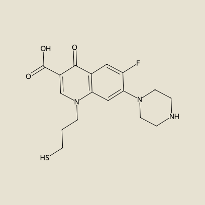 O=C(O)c1cn(CCCS)c2cc(N3CCNCC3)c(F)cc2c1=O